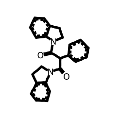 O=C(C(C(=O)N1CCc2ccccc21)c1ccccc1)N1CCc2ccccc21